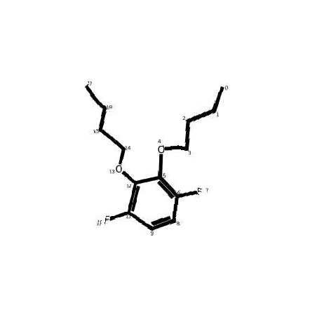 CCCCOc1c(F)ccc(F)c1OCCCC